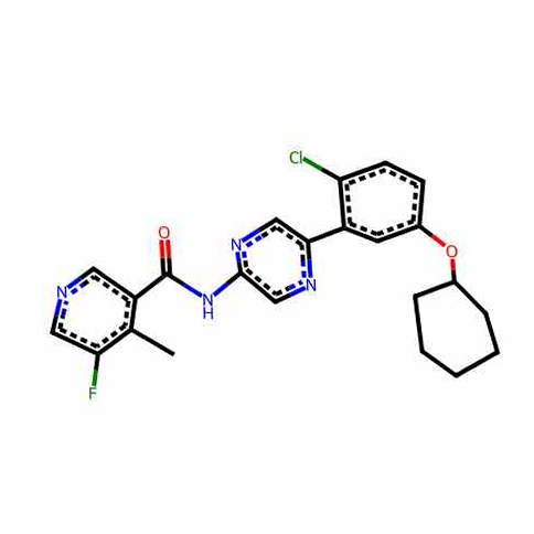 Cc1c(F)cncc1C(=O)Nc1cnc(-c2cc(OC3CCCCC3)ccc2Cl)cn1